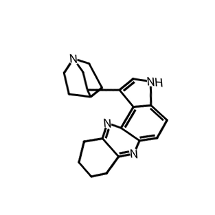 c1[nH]c2ccc3nc4c(nc3c2c1C1CN2CCC1CC2)CCCC4